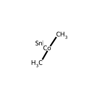 [CH3][Co][CH3].[Sn]